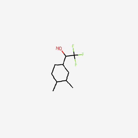 CC1CCC(C(O)C(F)(F)F)CC1C